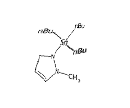 CCC[CH2][Sn]([CH2]CCC)([CH2]CCC)[N]1CC=CN1C